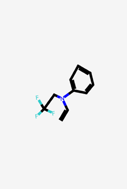 C=CN(CC(F)(F)F)c1ccccc1